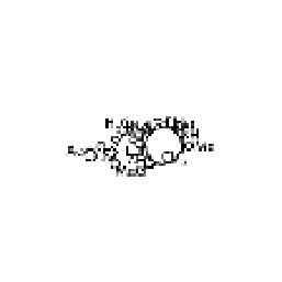 COc1cc2cc(c1Cl)N(C)C(=O)C[C@H](OC(=O)CN(C)C(=O)CCS[C@H]1CC(=O)N(C[C@H]3CC[C@H](C(C)=O)CC3)C1=O)[C@]1(C)O[C@H]1[C@H](C)[C@@H]1CC(NC(=O)O1)[C@H](OC)/C=C/C=C(\C)C2